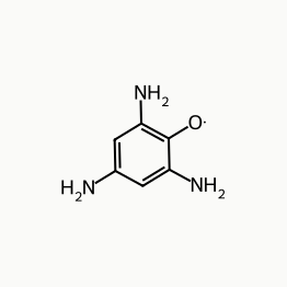 Nc1cc(N)c([O])c(N)c1